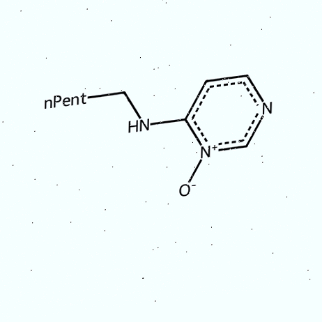 CCCCCCNc1ccnc[n+]1[O-]